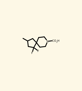 CC1CC(F)(F)C2(CCN(C(=O)O)CC2)C1